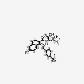 CC(C)(C)CC(NC(=O)c1ccc2cc(F)ccc2c1OCc1ccc(C(F)(F)F)cc1)C(=O)O